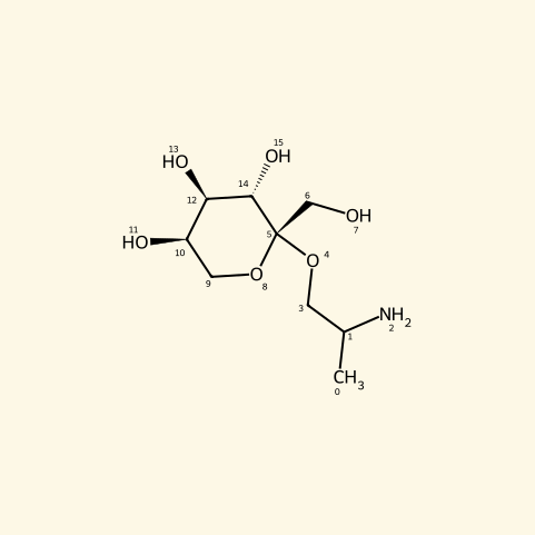 CC(N)CO[C@]1(CO)OC[C@@H](O)[C@@H](O)[C@@H]1O